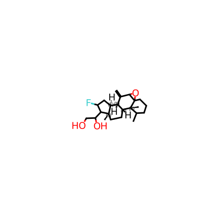 C=C1C2OC23CCCC(C)[C@]3(C)[C@@H]2CC[C@]3(C)C(C(O)CO)C(F)C[C@H]3[C@H]12